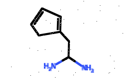 NC(N)CC1=CC=CC1